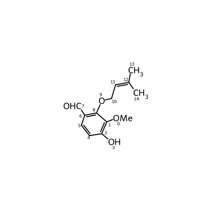 COc1c(O)ccc(C=O)c1OCC=C(C)C